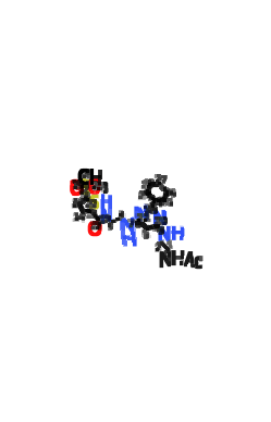 CC(=O)NCCNc1cc(NCCNC(=O)c2ccc(S(C)(=O)=O)s2)nc(-c2ccccc2)n1